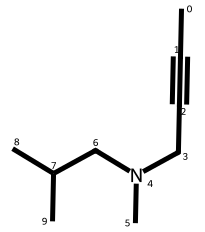 CC#CCN(C)CC(C)C